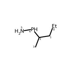 CCCC(C)PN